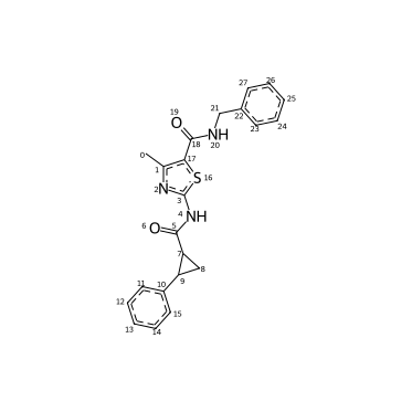 Cc1nc(NC(=O)C2CC2c2ccccc2)sc1C(=O)NCc1ccccc1